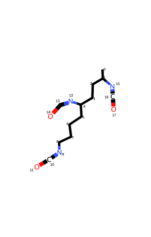 CC(CCC(CCCCN=C=O)N=C=O)N=C=O